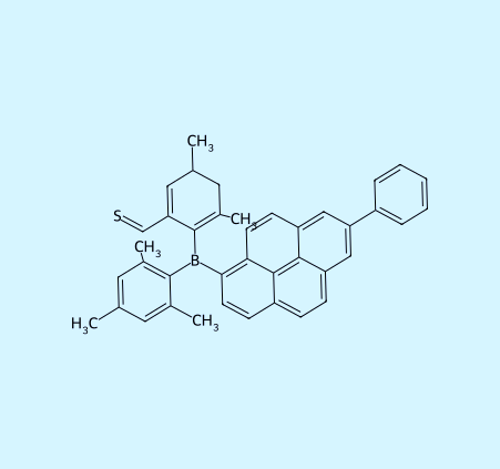 CC1=C(B(c2c(C)cc(C)cc2C)c2ccc3ccc4cc(-c5ccccc5)cc5ccc2c3c45)C(C=S)=CC(C)C1